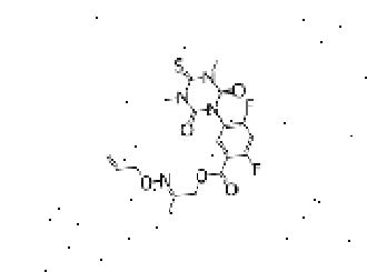 C=CCON=C(C)COC(=O)c1cc(-n2c(=O)n(C)c(=S)n(C)c2=O)c(F)cc1F